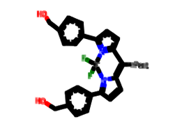 CCCCCC1=C2C=CC(c3ccc(CO)cc3)=[N+]2[B-](F)(F)n2c1ccc2-c1ccc(CO)cc1